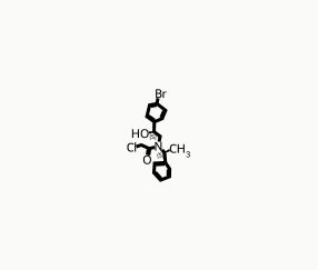 C[C@@H](c1ccccc1)N(C[C@@H](O)c1ccc(Br)cc1)C(=O)CCl